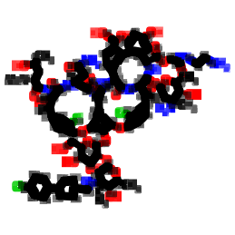 CN[C@H](CC(C)O)C(=O)N[C@H]1C(=O)N[C@@H](CC(N)=O)C(=O)N[C@H]2C(=O)N[C@H]3C(=O)N[C@H](C(=O)N[C@H](C(=O)OCC(=O)NCCN)c4cc(O)ccc4-c4cc3ccc4C(O)O)[C@H](O[C@H]3C[C@](C)(N)[C@@H](O)[C@H](C)O3)c3ccc(c(Cl)c3)Oc3cc2cc(c3O[C@@H]2O[C@H](CO)[C@@H](O)[C@H](O)[C@H]2O[C@H]2C[C@](C)(NCc3ccc(-c4ccc(Cl)cc4)cc3)[C@@H](O)[C@H](C)O2)Oc2ccc(cc2Cl)[C@H]1O